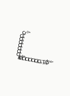 [Al+3].[Cl-].[Cl-].[Cl-].[Cl-].[Cl-].[Cl-].[Cl-].[Cl-].[Cl-].[Cl-].[Cl-].[Cl-].[Cl-].[Cl-].[Cr+3].[Ti+4].[Zr+4]